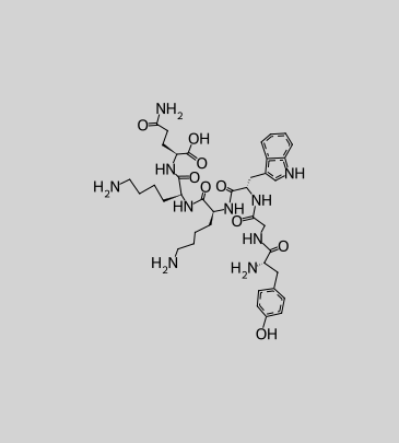 NCCCC[C@H](NC(=O)[C@H](CCCCN)NC(=O)[C@H](Cc1c[nH]c2ccccc12)NC(=O)CNC(=O)[C@@H](N)Cc1ccc(O)cc1)C(=O)N[C@@H](CCC(N)=O)C(=O)O